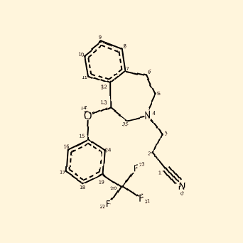 N#CCCN1CCc2ccccc2C(Oc2cccc(C(F)(F)F)c2)C1